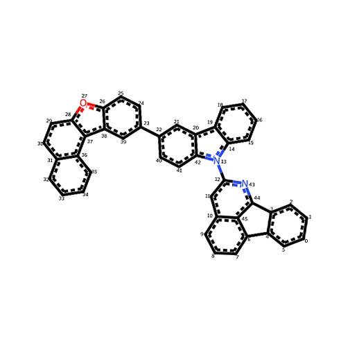 c1ccc2c(c1)-c1cccc3cc(-n4c5ccccc5c5cc(-c6ccc7oc8ccc9ccccc9c8c7c6)ccc54)nc-2c13